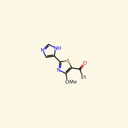 CCC(=O)c1sc(-c2cnc[nH]2)nc1OC